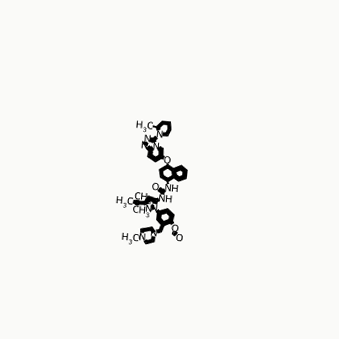 C[C@H]1CCCCN1c1nnc2ccc(O[C@@H]3CC[C@H](NC(=O)Nc4cc(C(C)(C)C)nn4-c4ccc(OC=O)c(CN5CCN(C)CC5)c4)c4ccccc43)cn12